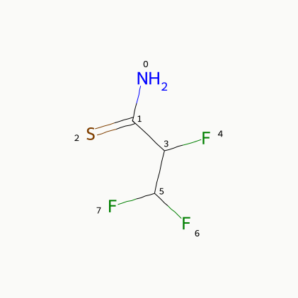 NC(=S)C(F)C(F)F